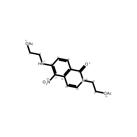 CC(=O)OCCNc1ccc2c(=O)n(CCOC(C)=O)ccc2c1[N+](=O)[O-]